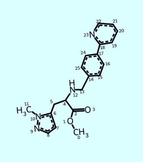 COC(=O)C(Cc1ccnn1C)NCc1ccc(-c2ccccn2)cc1